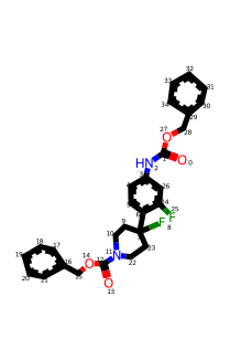 O=C(Nc1ccc(C2(F)CCN(C(=O)OCc3ccccc3)CC2)c(F)c1)OCc1ccccc1